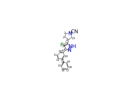 N#CN1CC[C@H](c2[nH]nc(-c3cccc(-c4ccccc4)c3)c2F)C1